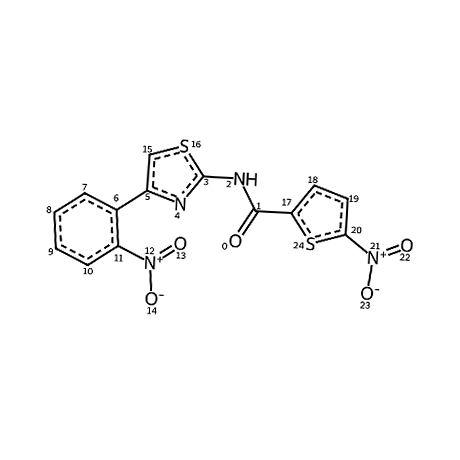 O=C(Nc1nc(-c2ccccc2[N+](=O)[O-])cs1)c1ccc([N+](=O)[O-])s1